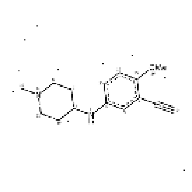 [C]#Cc1cc(NC2CCN(C)CC2)ccc1OC